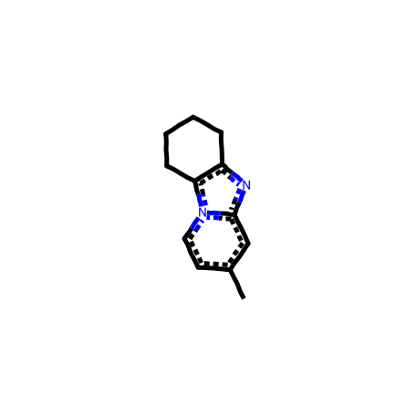 Cc1ccn2c3c(nc2c1)CCCC3